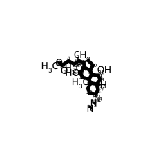 COC(=O)CC[C@H](C)[C@H]1CCC2C3C(C[C@H](O)[C@@]21C)[C@@]1(C)CC[C@H](N=[N+]=[N-])C[C@H]1C[C@H]3O